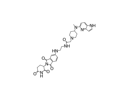 CN(c1ccc2[nH]ccc2n1)C1CCN(CC(=O)NCCNc2ccc3c(c2)C(=O)N(C2CCC(=O)NC2=O)C3=O)CC1